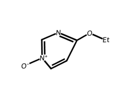 CCOc1cc[n+]([O-])cn1